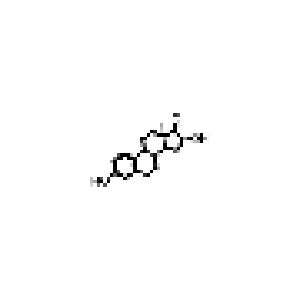 CC12CCC3c4ccc(O)cc4CCC3C1C[C@H](O)C2=O